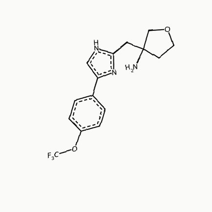 NC1(Cc2nc(-c3ccc(OC(F)(F)F)cc3)c[nH]2)CCOC1